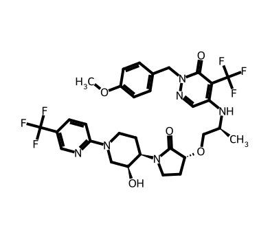 COc1ccc(Cn2ncc(N[C@@H](C)CO[C@@H]3CCN([C@@H]4CCN(c5ccc(C(F)(F)F)cn5)C[C@@H]4O)C3=O)c(C(F)(F)F)c2=O)cc1